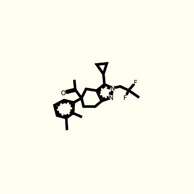 CC(=O)C1(c2cccc(C)c2C)CCc2nn(CC(C)(F)F)c(C3CC3)c2C1